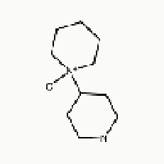 [O-][N+]1(C2CC[N]CC2)CCCCC1